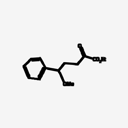 CCOC(=O)C(=O)CCC(OC)c1ccccc1